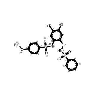 O=S(=O)(NSc1cc(Cl)c(Cl)cc1NS(=O)(=O)c1ccc(OC(F)(F)F)cc1)c1ccccc1